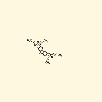 CCOOP(=O)(Cc1ccc2c(c1)oc1ccc(CP(=O)(OOCC)OOCC)cc12)OOCC